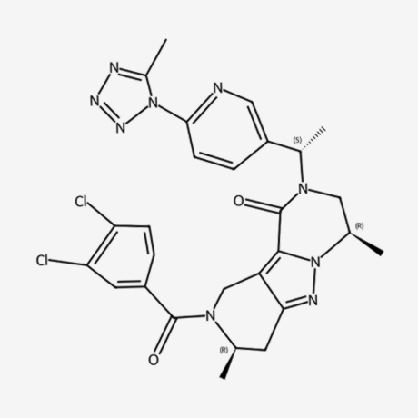 Cc1nnnn1-c1ccc([C@H](C)N2C[C@@H](C)n3nc4c(c3C2=O)CN(C(=O)c2ccc(Cl)c(Cl)c2)[C@H](C)C4)cn1